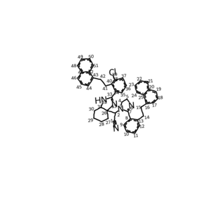 N#CC(N1CCN=C1c1ccccc1CCc1cccc2ccccc12)C12CCCCC1NC(c1cccc(Cl)c1CCc1cccc3ccccc13)=N2